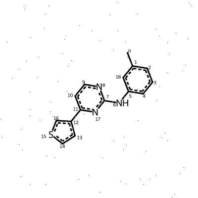 Cc1cccc(Nc2nccc(-c3ccsc3)n2)c1